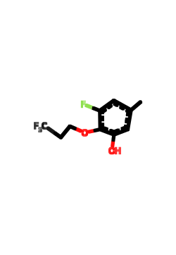 Cc1cc(O)c(OCCC(F)(F)F)c(F)c1